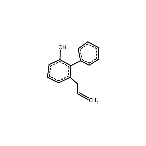 C=CCc1cccc(O)c1-c1ccccc1